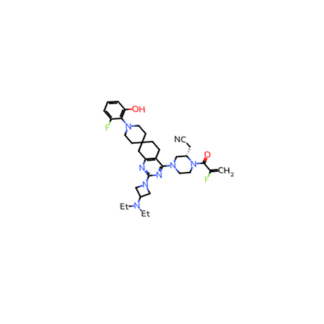 C=C(F)C(=O)N1CCN(c2nc(N3CC(N(CC)CC)C3)nc3c2CCC2(CCN(c4c(O)cccc4F)CC2)C3)C[C@@H]1CC#N